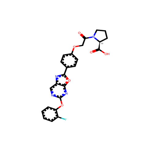 O=C(O)[C@@H]1CCCN1C(=O)COc1ccc(-c2nc3cnc(Oc4ccccc4F)nc3o2)cc1